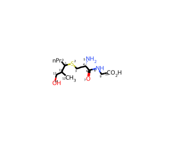 CCCC(SC[C@H](N)C(=O)NCC(=O)O)C(C)CO